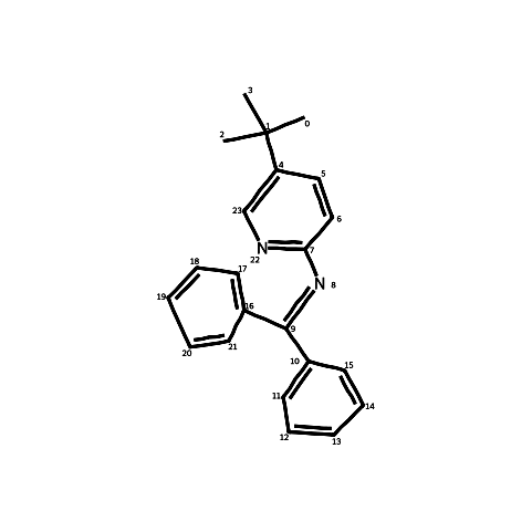 CC(C)(C)c1ccc(N=C(c2ccccc2)c2ccccc2)nc1